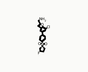 NCc1cc2cc(-c3ccc(S(=O)(=O)N4CC[C@H](F)C4)cc3)cc(Cl)c2o1